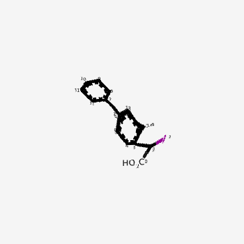 O=C(O)C(I)c1ccc(-c2ccccc2)cc1